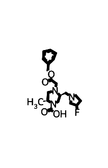 C[C@@H]1CN(CC(=O)OCc2ccccc2)[C@@H](CN2CCC(F)C2)CN1C(=O)O